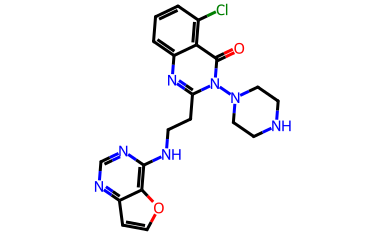 O=c1c2c(Cl)cccc2nc(CCNc2ncnc3ccoc23)n1N1CCNCC1